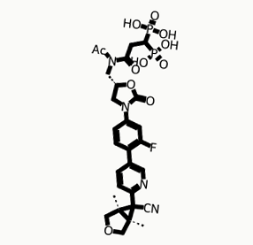 CC(=O)N(C[C@H]1CN(c2ccc(-c3ccc(C4(C#N)[C@]5(C)COC[C@]45C)nc3)c(F)c2)C(=O)O1)C(=O)CC(P(=O)(O)O)P(=O)(O)O